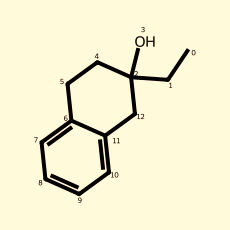 CCC1(O)CCc2ccccc2C1